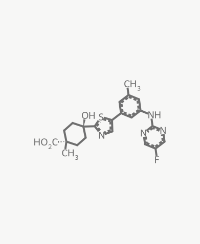 Cc1cc(Nc2ncc(F)cn2)cc(-c2cnc([C@]3(O)CC[C@](C)(C(=O)O)CC3)s2)c1